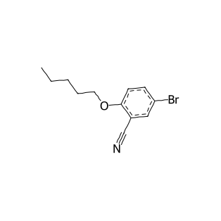 CCCCCOc1ccc(Br)cc1C#N